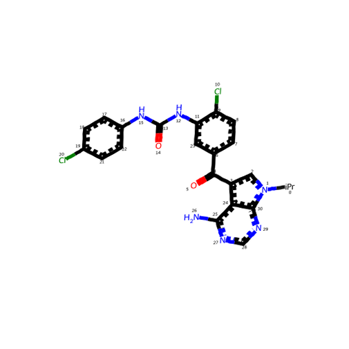 CC(C)n1cc(C(=O)c2ccc(Cl)c(NC(=O)Nc3ccc(Cl)cc3)c2)c2c(N)ncnc21